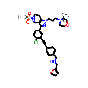 C[C@H]1COCCN1CCCn1nc(-c2ccc(Cl)c(C#Cc3ccc(CNCc4ccco4)cc3)c2)c2c1CCN(S(C)(=O)=O)C2